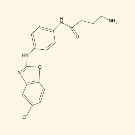 NCCCC(=O)Nc1ccc(Nc2nc3cc(Cl)ccc3o2)cc1